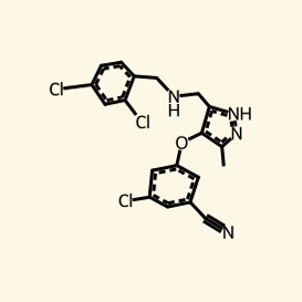 Cc1n[nH]c(CNCc2ccc(Cl)cc2Cl)c1Oc1cc(Cl)cc(C#N)c1